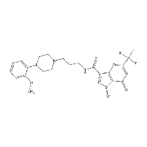 COc1ccccc1N1CCN(CCCNC(=O)c2c[s+]([O-])c3c(=O)cc(C(F)(F)F)oc23)CC1